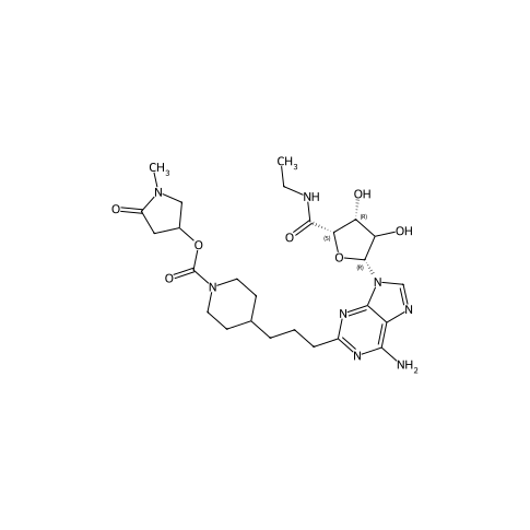 CCNC(=O)[C@H]1O[C@@H](n2cnc3c(N)nc(CCCC4CCN(C(=O)OC5CC(=O)N(C)C5)CC4)nc32)C(O)[C@H]1O